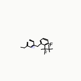 C=C/C(=C\C(=C)CC)Cc1cccc(F)c1C(C)(F)C(C)(C)C